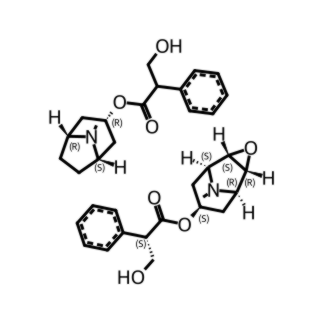 CN1[C@@H]2CC[C@H]1C[C@@H](OC(=O)C(CO)c1ccccc1)C2.CN1[C@@H]2C[C@@H](OC(=O)[C@H](CO)c3ccccc3)C[C@H]1[C@@H]1O[C@@H]12